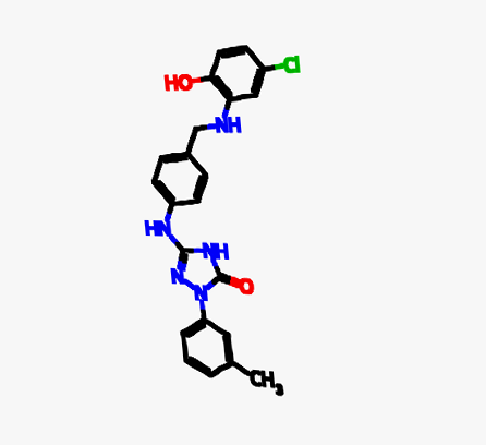 Cc1cccc(-n2nc(Nc3ccc(CNc4cc(Cl)ccc4O)cc3)[nH]c2=O)c1